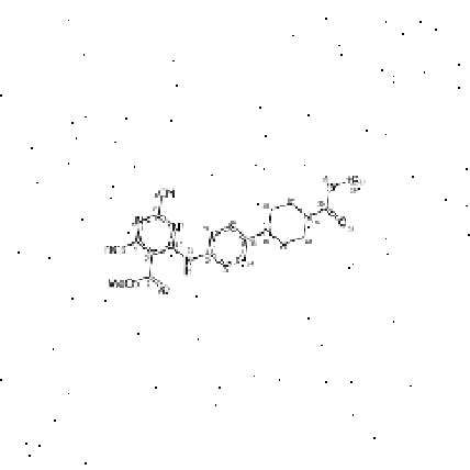 COC(=O)c1c(C#N)nc(C#N)nc1Nc1ccc(N2CCN(C(=O)OC(C)(C)C)CC2)cc1